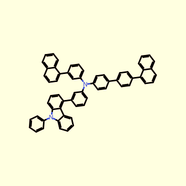 c1ccc(-n2c3ccccc3c3c(-c4cccc(N(c5ccc(-c6ccc(-c7cccc8ccccc78)cc6)cc5)c5cccc(-c6cccc7ccccc67)c5)c4)cccc32)cc1